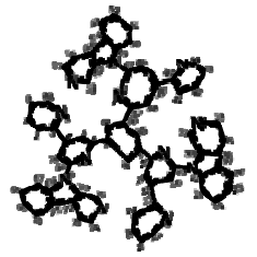 c1ccc(-c2cc(-c3cc(-c4cc(-c5ccccn5)cc(-n5c6ccccc6c6ccncc65)n4)cc(-c4cc(-c5ccccn5)cc(-n5c6ccccc6c6ccncc65)n4)c3)nc(-n3c4ccccc4c4ccncc43)c2)nc1